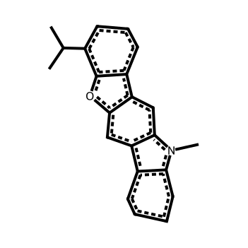 CC(C)c1cccc2c1oc1cc3c4ccccc4n(C)c3cc12